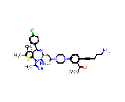 COC(=O)c1cc(N2CCN(C(=O)C[C@@H]3N=C(c4ccc(Cl)cc4)c4c(sc(C)c4C)N(C(C)=N)C3=N)CC2)ccc1C#CCCCN